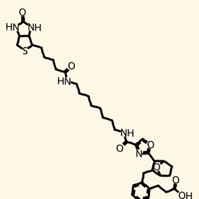 O=C(O)CCc1ccccc1CC1C2CCC(O2)C1c1nc(C(=O)NCCCCCCCCNC(=O)CCCCC2SCC3NC(=O)NC32)co1